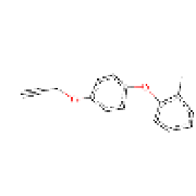 C#CCOc1ccc(Oc2ccccc2C)cc1